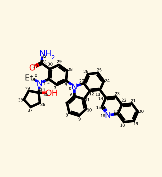 CCN(c1cc(-n2c3ccccc3c3c(-c4cnc5ccccc5c4)cccc32)ccc1C(N)=O)C1(O)CCCC1